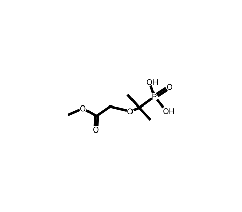 COC(=O)COC(C)(C)P(=O)(O)O